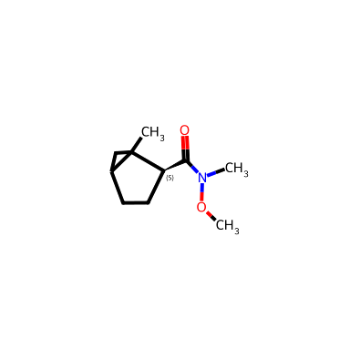 CON(C)C(=O)[C@H]1CCC2CC21C